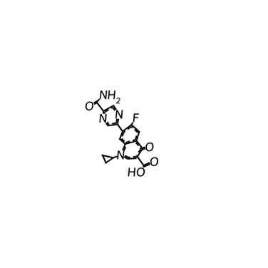 NC(=O)c1cnc(-c2cc3c(cc2F)c(=O)c(C(=O)O)cn3C2CC2)cn1